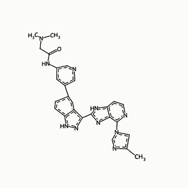 Cc1cn(-c2nccc3[nH]c(-c4n[nH]c5ccc(-c6cncc(NC(=O)CN(C)C)c6)cc45)nc23)cn1